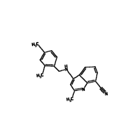 Cc1ccc(CNc2cc(C)nc3c(C#N)cccc23)c(C)c1